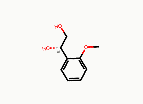 COc1ccccc1[C@H](O)CO